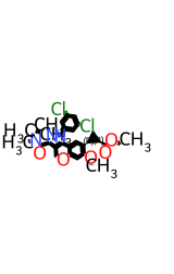 CCOC(=O)[C@@H]1C[C@H]1c1cc2c(cc1OC)OCc1c(C(=O)N(C)C(C)(C)C)nn(-c3cc(Cl)cc(Cl)c3)c1-2